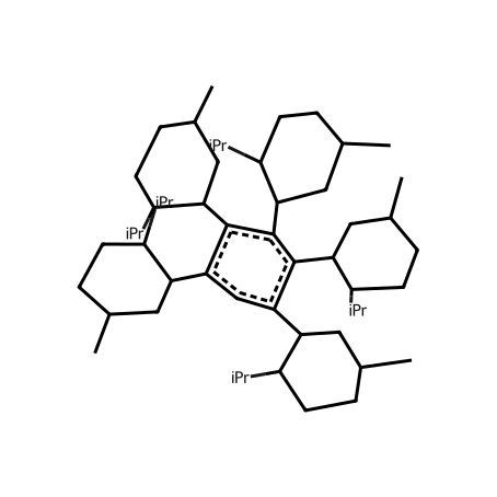 CC1CCC(C(C)C)C(c2cc(C3CC(C)CCC3C(C)C)c(C3CC(C)CCC3C(C)C)c(C3CC(C)CCC3C(C)C)c2C2CC(C)CCC2C(C)C)C1